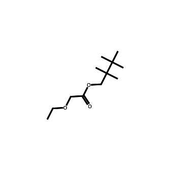 CCOCC(=O)OCC(C)(C)C(C)(C)C